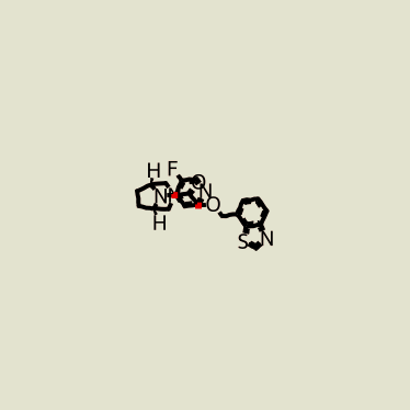 O=C(COCc1cccc2ncsc12)N1C[C@H]2CC[C@@H](C1)N2c1ccncc1F